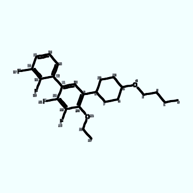 CCCCOC1CCC(c2cc(-c3cccc(F)c3F)c(F)c(F)c2OCC)CC1